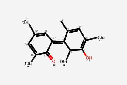 CC1=CC(C(C)(C)C)=C(O)C(C(C)(C)C)C1=C1C=C(C(C)(C)C)C=C(C(C)(C)C)C1=O